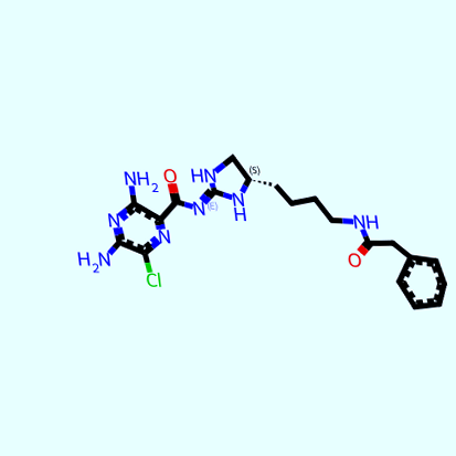 Nc1nc(N)c(C(=O)/N=C2\NC[C@H](CCCCNC(=O)Cc3ccccc3)N2)nc1Cl